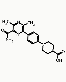 Cc1nc(C)c(-c2ccc(N3CCC(C(=O)O)CC3)cc2)nc1C(N)=O